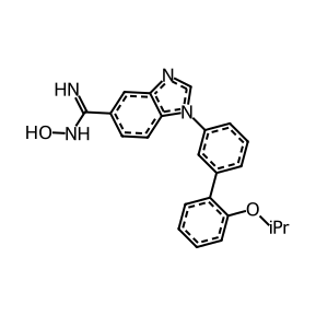 CC(C)Oc1ccccc1-c1cccc(-n2cnc3cc(C(=N)NO)ccc32)c1